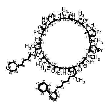 CC[C@@H]1NC(=O)[C@@H]2[C@@H]([C@H](C)CCCCSc3nnnn3-c3ccccc3)ON2C(=O)[C@H](C(C)C)N(C)C(=O)[C@H](CC(C)C)N(C)C(=O)[C@H](CC(C)C)N(C)C(=O)[C@@H](C)NC(=O)[C@H](C)NC(=O)[C@H](CC(C)C)N(C)C(=O)[C@H](C(C)C)NC(=O)[C@H]([C@@H](C)OCCCCN2CCOCC2)N(C)C(=O)[C@@H](C)N(C)C1=O